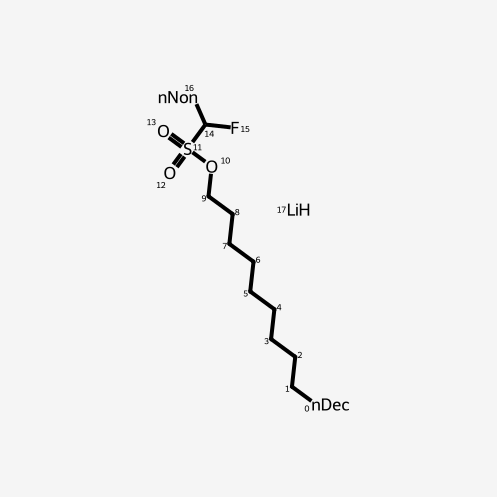 CCCCCCCCCCCCCCCCCCCOS(=O)(=O)C(F)CCCCCCCCC.[LiH]